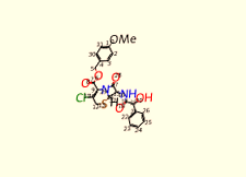 COc1ccc(COC(=O)C2=C(Cl)CS[C@H]3C(NC(=O)C(O)c4ccccc4)C(=O)N23)cc1